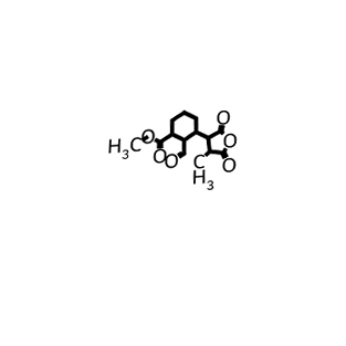 COC(=O)C1CCCC(C2C(=O)OC(=O)C2C)C1C=O